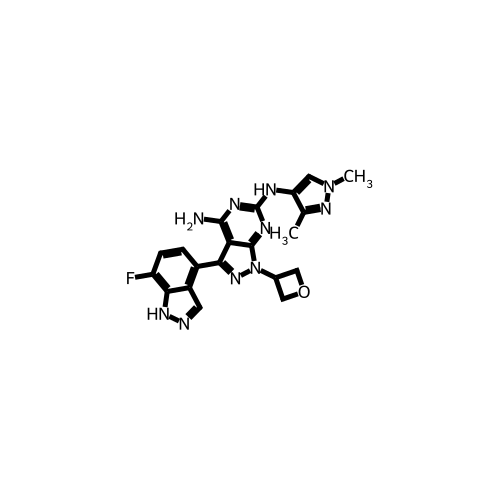 Cc1nn(C)cc1Nc1nc(N)c2c(-c3ccc(F)c4[nH]ncc34)nn(C3COC3)c2n1